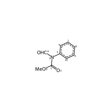 COC(=O)N(C=O)c1ccccc1